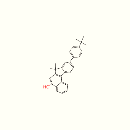 CC(C)(C)c1ccc(-c2ccc3c(c2)C(C)(C)c2cc(O)c4ccccc4c2-3)cc1